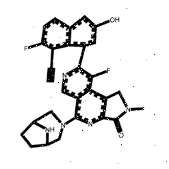 C#Cc1c(F)ccc2cc(O)cc(-c3ncc4c(N5CC6CCC(C5)N6)nc5c(c4c3F)CN(C)C5=O)c12